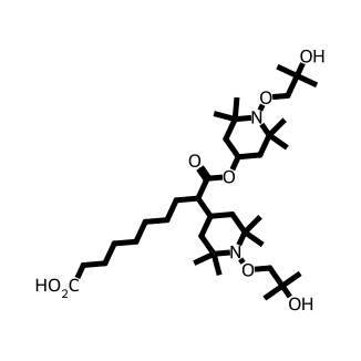 CC(C)(O)CON1C(C)(C)CC(OC(=O)C(CCCCCCCC(=O)O)C2CC(C)(C)N(OCC(C)(C)O)C(C)(C)C2)CC1(C)C